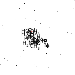 C=C(C)[C@@H]1CC[C@]2(C(=O)N3CCC[C@H]3Cn3cccc3CN3CCCC3)CC[C@]3(C)[C@H](CC[C@@H]4[C@@]5(C)CC[C@H](O)C(C)(C)[C@@H]5CC[C@]43C)[C@@H]12